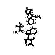 Cc1nccc(-c2ncc3c(N4CCC5(CC4)Cn4nccc4[C@H]5N)nccn23)c1F.O=C(O)C(F)(F)F